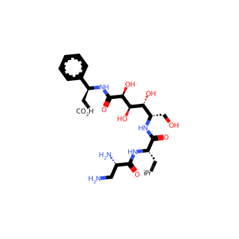 CC(C)C[C@H](NC(=O)[C@@H](N)CN)C(=O)N[C@@H](CO)[C@@H](O)[C@@H](O)[C@H](O)C(=O)N[C@@H](CC(=O)O)c1ccccc1